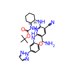 CC(C)(C)OC(=O)N[C@H]1CCCC[C@H]1Nc1nc(Nc2cccc(-n3nccn3)c2)c(C(N)=O)cc1C#N